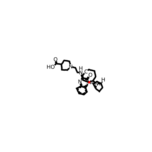 O=C(O)C1CCN(CCNc2nc3ccccc3n([C@@H]3C[C@@H]4CCC3N4C3CCCCCCC3)c2=O)CC1